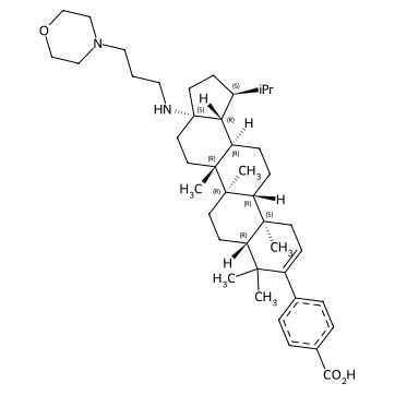 CC(C)[C@@H]1CC[C@]2(NCCCN3CCOCC3)CC[C@]3(C)[C@H](CC[C@@H]4[C@@]5(C)CC=C(c6ccc(C(=O)O)cc6)C(C)(C)[C@@H]5CC[C@]43C)[C@@H]12